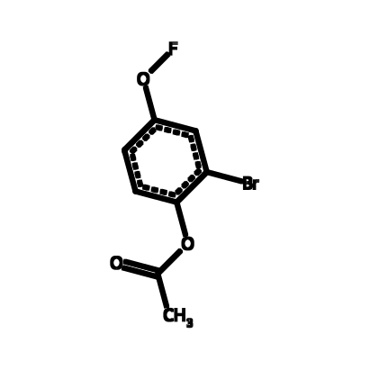 CC(=O)Oc1ccc(OF)cc1Br